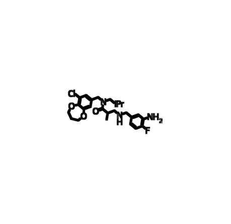 CC(C)CN(Cc1cc(Cl)c2c(c1)OCCCO2)C(=O)C(C)CNCc1ccc(F)c(N)c1